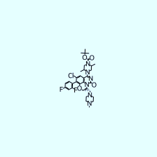 CC1CN(c2nc(=O)n3c4c(c(-c5ccc(F)cc5F)c(Cl)cc24)OC[C@H]3CN2CCN(C)CC2)C(C)CN1C(=O)OC(C)(C)C